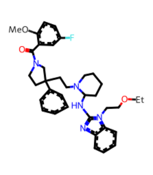 CCOCCn1c(NC2CCCCN2CCC2(c3ccccc3)CCN(C(=O)c3cc(F)ccc3OC)C2)nc2ccccc21